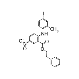 Cc1cc(I)ccc1Nc1ccc([N+](=O)[O-])cc1C(=O)OCCc1ccccc1